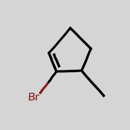 CC1CCC=C1Br